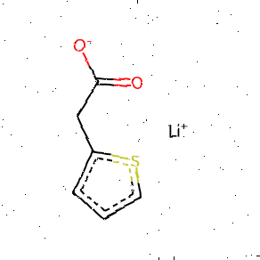 O=C([O-])Cc1cccs1.[Li+]